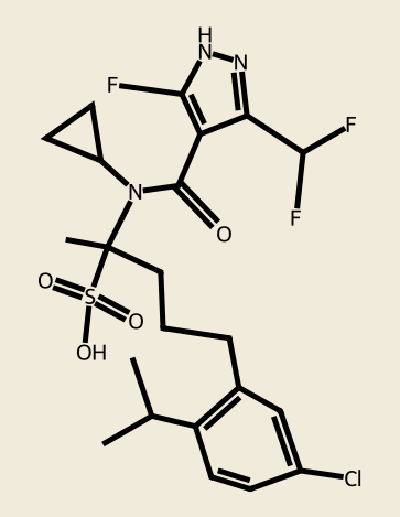 CC(C)c1ccc(Cl)cc1CCCC(C)(N(C(=O)c1c(C(F)F)n[nH]c1F)C1CC1)S(=O)(=O)O